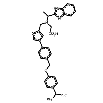 CCCC(CCC)c1ccc(OCc2ccc(-c3csc(CN(CC(=O)O)C(C)c4nc5ccccc5[nH]4)c3)cc2)cc1